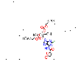 C#CC(COC(=O)OCCCCCCCCCCCC)(OC)[C@H](Cn1cnc2c(NC(=O)[C@H]3CCC(=O)O3)nc(F)nc21)OC(=O)OCCCCCCCCCCCC